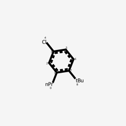 CCCc1cc(Cl)ccc1C(C)(C)C